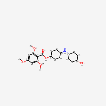 COc1cc(OC)c(C(=O)OC2CCC(N[C@H]3CC[C@@H](O)CC3)CC2)c(OC)c1